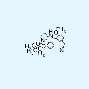 COc1ccc(CC#N)cc1CN[C@H]1CCCN(C(=O)OC(C)(C)C)[C@H]1c1ccccc1